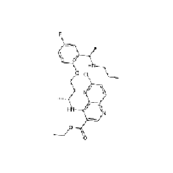 CCCN[C@H](C)c1cc(F)ccc1OCC[C@@H](C)Nc1c(C(=O)OCC)cnc2ccc(Cl)nc12